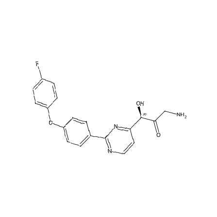 NCC(=O)[C@H](O)c1ccnc(-c2ccc(Oc3ccc(F)cc3)cc2)n1